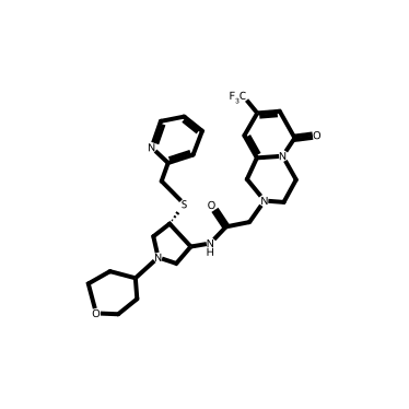 O=C(CN1CCn2c(cc(C(F)(F)F)cc2=O)C1)NC1CN(C2CCOCC2)C[C@@H]1SCc1ccccn1